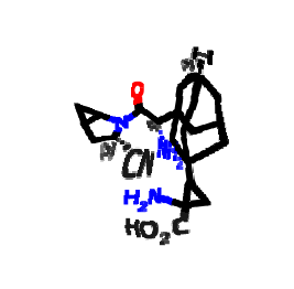 N#C[C@@H]1CC2CC2N1C(=O)[C@@H](N)C12CC3C[C@@H](CC(C4CC4(N)C(=O)O)(C3)C1)C2